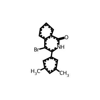 Cc1cc(C)cc(-c2[nH]c(=O)c3ccccc3c2Br)c1